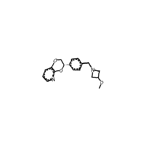 COC1CN(Cc2ccc([C@H]3COc4cccnc4O3)cc2)C1